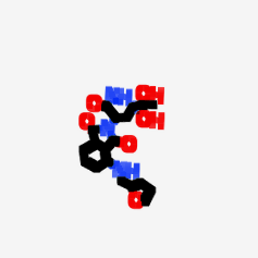 CC(O)(O)CCC(C(N)=O)N1C(=O)c2cccc(NCc3ccco3)c2C1=O